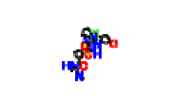 COc1ccc(Cl)c(Nc2nc3ccccc3nc2NS(=O)(=O)c2cccc(C(=O)NC(C)CN(C)C)c2)c1